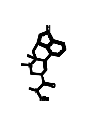 CCCCN(C)C(=O)[C@@H]1C=C2c3cccc4[nH]cc(c34)C[C@@]2(C)N(C)C1